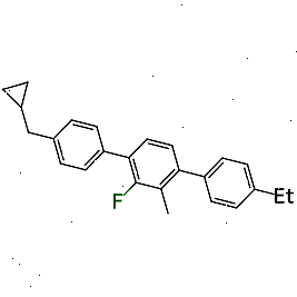 CCc1ccc(-c2ccc(-c3ccc(CC4CC4)cc3)c(F)c2C)cc1